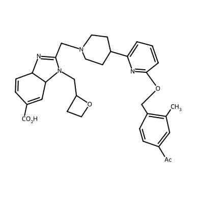 CC(=O)c1ccc(COc2cccc(C3CCN(CC4=NC5C=CC(C(=O)O)=CC5N4CC4CCO4)CC3)n2)c(C)c1